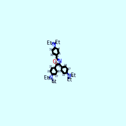 CCN(CC)c1ccc(-c2nc(-c3ccc(N(CC)CC)cc3)c(-c3ccc(N(CC)CC)cc3)o2)cc1